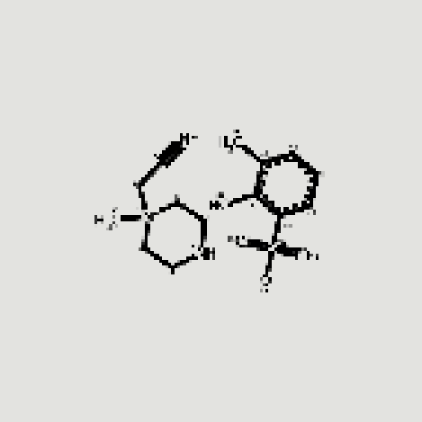 C[N+]1(CC#N)CCNCC1.Cc1cccc(S(=O)(=O)[O-])c1O